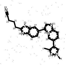 Cc1nn(C)cc1-c1ccc2ncc(-c3ccc4nc(CCCC#N)sc4c3)n2c1